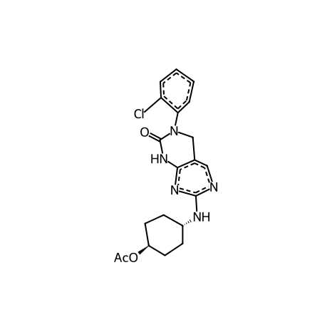 CC(=O)O[C@H]1CC[C@H](Nc2ncc3c(n2)NC(=O)N(c2ccccc2Cl)C3)CC1